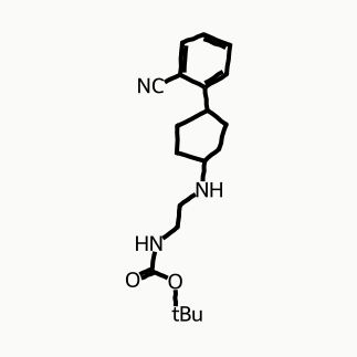 CC(C)(C)OC(=O)NCCNC1CCC(c2ccccc2C#N)CC1